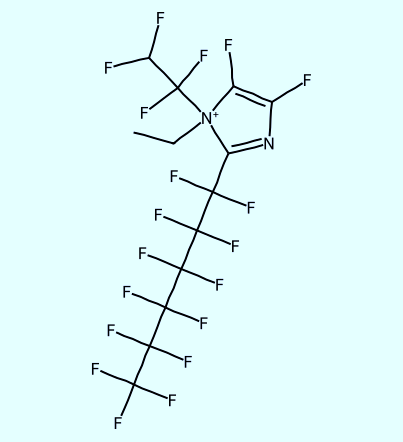 CC[N+]1(C(F)(F)C(F)F)C(C(F)(F)C(F)(F)C(F)(F)C(F)(F)C(F)(F)C(F)(F)F)=NC(F)=C1F